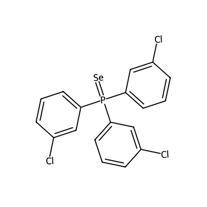 Clc1cccc(P(=[Se])(c2cccc(Cl)c2)c2cccc(Cl)c2)c1